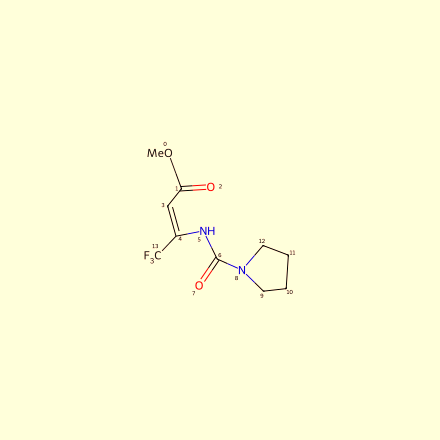 COC(=O)/C=C(\NC(=O)N1CCCC1)C(F)(F)F